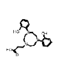 O=C(O)CCN1CCN(c2ccccc2O)CCN(c2ccccc2O)CC1